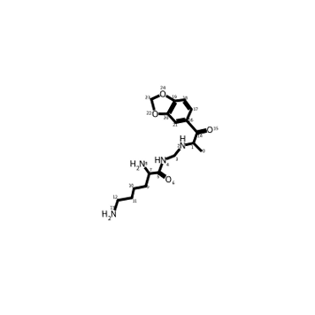 CC(NCNC(=O)C(N)CCCCN)C(=O)c1ccc2c(c1)OCO2